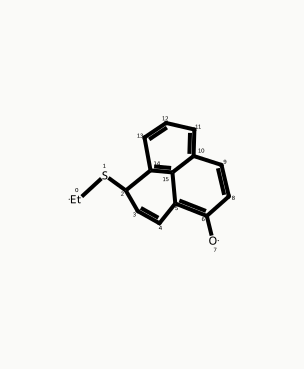 C[CH]SC1C=Cc2c([O])ccc3cccc1c23